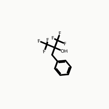 OC(Cc1ccccc1)(C(F)(F)F)C(F)(F)F